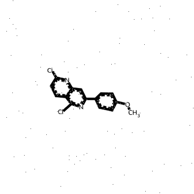 COc1ccc(-c2cc3nc(Cl)ccc3c(Cl)n2)cc1